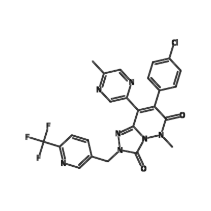 Cc1cnc(-c2c(-c3ccc(Cl)cc3)c(=O)n(C)n3c(=O)n(Cc4ccc(C(F)(F)F)nc4)nc23)cn1